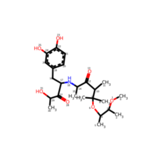 COC(C)C(C)OC(C)(C)C(C)C(=O)C(C)NC(Cc1ccc(O)c(O)c1)C(=O)C(C)O